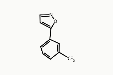 FC(F)(F)c1cccc(-c2c[c]no2)c1